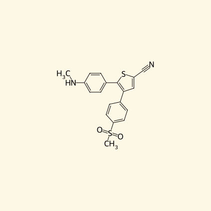 CNc1ccc(-c2sc(C#N)cc2-c2ccc(S(C)(=O)=O)cc2)cc1